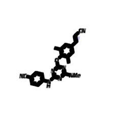 CNc1nc(Nc2ccc(C#N)cc2)nc(Oc2c(C)cc(/C=C/C#N)cc2C)n1